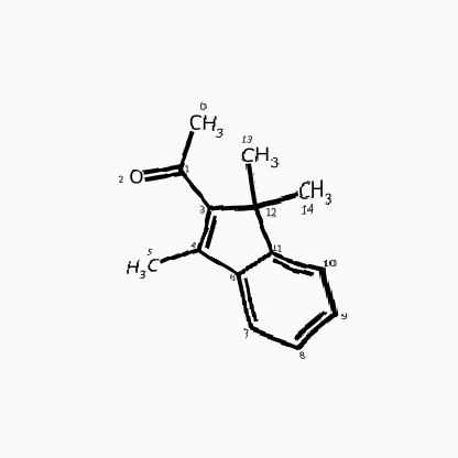 CC(=O)C1=C(C)c2ccccc2C1(C)C